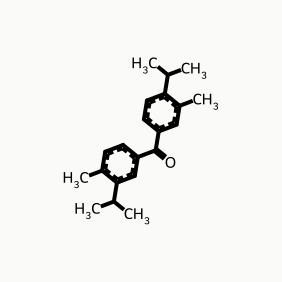 Cc1cc(C(=O)c2ccc(C)c(C(C)C)c2)ccc1C(C)C